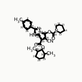 Cc1ccc(-c2nn3c(OC(=O)N4CCCCC4)c(C#N)c(C(=O)OC4C(C)CCCC4C)c3[nH]2)cc1